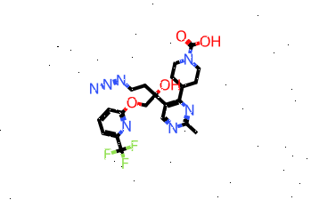 Cc1ncc(C(O)(CCN=[N+]=[N-])COc2cccc(C(F)(F)F)n2)c(C2CCN(C(=O)O)CC2)n1